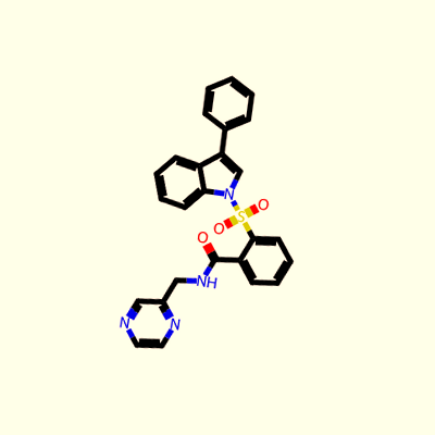 O=C(NCc1cnccn1)c1ccccc1S(=O)(=O)n1cc(-c2ccccc2)c2ccccc21